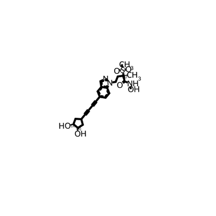 C[C@@](CCn1ncc2cc(C#CC#CC3C[C@@H](O)[C@@H](O)C3)ccc21)(C(=O)NO)S(C)(=O)=O